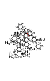 CC(C)(C)c1cc2c3c(c1)N(c1cc(-c4ccccc4)c(C(C)(C)C)cc1-c1ccccc1)c1ccc(C(C)(C)c4ccccc4)cc1B3c1cc3c(cc1N2c1ccc2c(c1)C(C)(C)CCC2(C)C)C(C)(C)CCC3(C)C